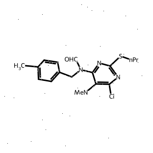 CCCSc1nc(Cl)c(NC)c(N(C=O)Cc2ccc(C)cc2)n1